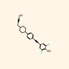 CCCC#CCC1CCC(c2ccc(C#Cc3cc(F)c(CCC)c(F)c3)cc2)CC1